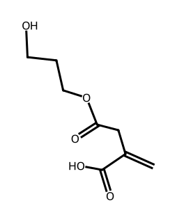 C=C(CC(=O)OCCCO)C(=O)O